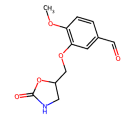 COc1ccc(C=O)cc1OCC1CNC(=O)O1